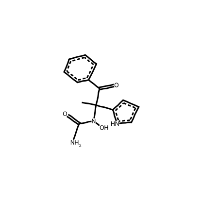 CC(C(=O)c1ccccc1)(c1ccc[nH]1)N(O)C(N)=O